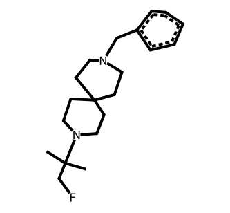 CC(C)(CF)N1CCC2(CCN(Cc3ccccc3)CC2)CC1